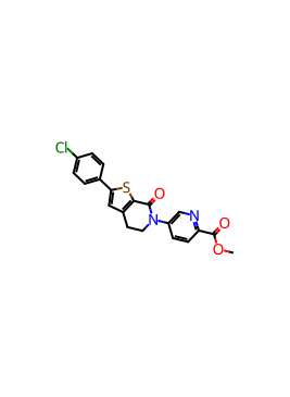 COC(=O)c1ccc(N2CCc3cc(-c4ccc(Cl)cc4)sc3C2=O)cn1